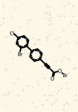 O=C(C#Cc1ccc(-c2ccc(Cl)cc2Br)cc1)OBr